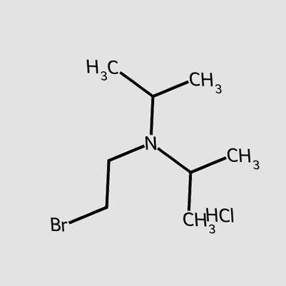 CC(C)N(CCBr)C(C)C.Cl